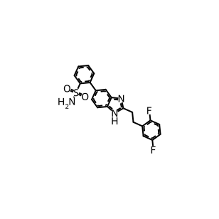 NS(=O)(=O)c1ccccc1-c1ccc2[nH]c(CCc3cc(F)ccc3F)nc2c1